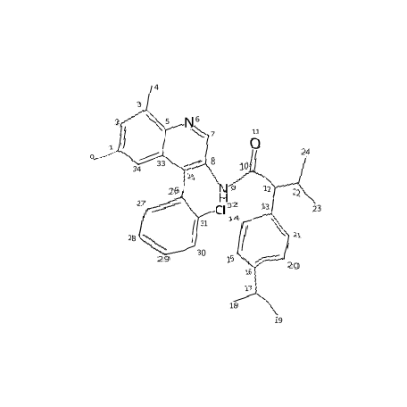 Cc1cc(C)c2ncc(NC(=O)C(c3ccc(C(C)C)cc3)C(C)C)c(-c3ccccc3Cl)c2c1